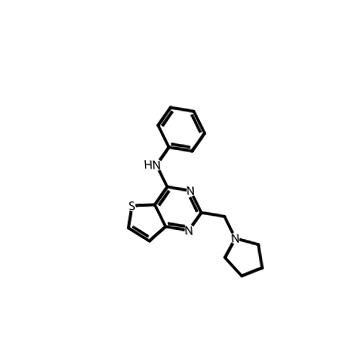 c1ccc(Nc2nc(CN3CCCC3)nc3ccsc23)cc1